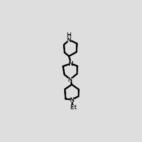 CCN1CCC(N2CCN(C3CCNCC3)CC2)CC1